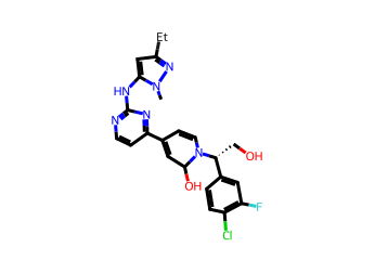 CCc1cc(Nc2nccc(C3=CC(O)N([C@H](CO)c4ccc(Cl)c(F)c4)C=C3)n2)n(C)n1